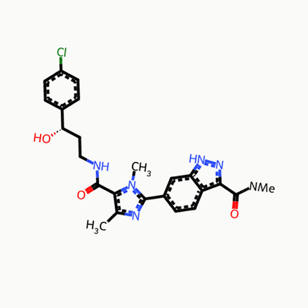 CNC(=O)c1n[nH]c2cc(-c3nc(C)c(C(=O)NCC[C@H](O)c4ccc(Cl)cc4)n3C)ccc12